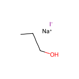 CCCO.[I-].[Na+]